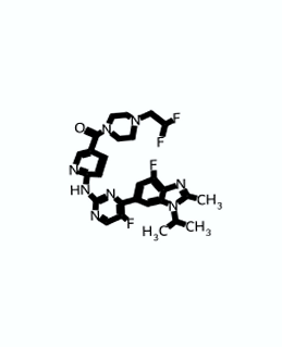 Cc1nc2c(F)cc(-c3nc(Nc4ccc(C(=O)N5CCN(CC(F)F)CC5)cn4)ncc3F)cc2n1C(C)C